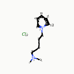 CN(C)CCCC[n+]1ccccc1.[Cl-]